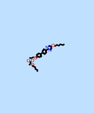 CCCCCCOc1cnc(-c2ccc(-c3ccc(OCC(C)OC(=O)C(C)OCCCCC)cc3)cc2)nc1